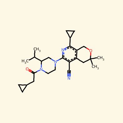 CC(C)C1CN(c2nc(C3CC3)c3c(c2C#N)CC(C)(C)OC3)CCN1C(=O)CC1CC1